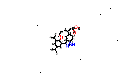 CCOc1c(-c2n[nH]c3ccc(/C(C)=C\C(=O)OC)cc23)cc(C(C)C)cc1C(C)C